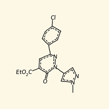 CCOC(=O)c1cc(-c2ccc(Cl)cc2)nn(-c2cnn(C)c2)c1=O